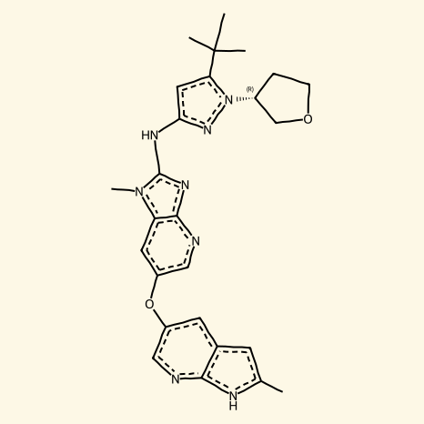 Cc1cc2cc(Oc3cnc4nc(Nc5cc(C(C)(C)C)n([C@@H]6CCOC6)n5)n(C)c4c3)cnc2[nH]1